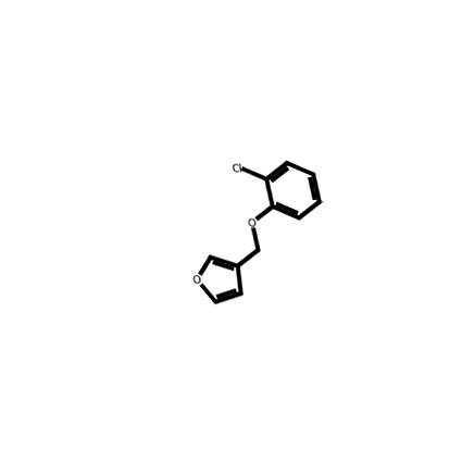 Clc1cc[c]cc1OCc1ccoc1